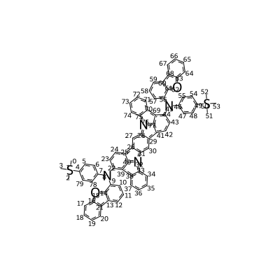 CS(C)(C)c1ccc(N(c2cccc3c2oc2ccccc23)c2ccc3c4cc5c(cc4n4c6ccccc6c2c34)c2ccc(N(c3ccc(S(C)(C)C)cc3)c3cccc4c3oc3ccccc34)c3c4ccccc4n5c23)cc1